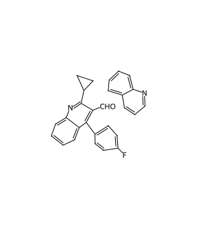 O=Cc1c(C2CC2)nc2ccccc2c1-c1ccc(F)cc1.c1ccc2ncccc2c1